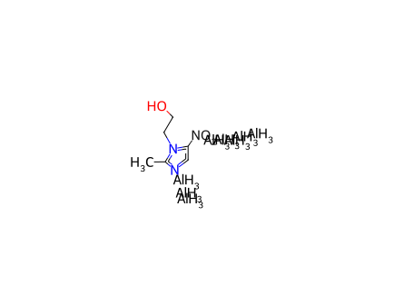 Cc1ncc([N+](=O)[O-])n1CCO.[AlH3].[AlH3].[AlH3].[AlH3].[AlH3].[AlH3].[AlH3].[AlH3]